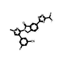 Cn1cc(-c2cc(F)cc(C#N)c2)c(N2Cc3ccc(-c4nnc(C(F)F)o4)cc3C2=O)n1